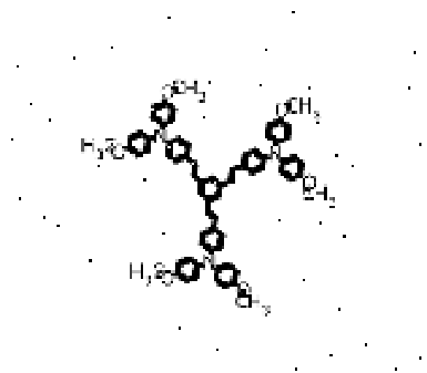 COc1ccc(N(c2ccc(/C=C/c3cc(/C=C/c4ccc(N(c5ccc(OC)cc5)c5ccc(OC)cc5)cc4)cc(/C=C/c4ccc(N(c5ccc(OC)cc5)c5ccc(OC)cc5)cc4)c3)cc2)c2ccc(OC)cc2)cc1